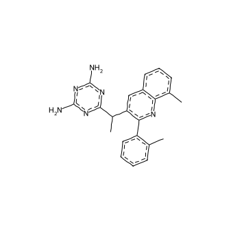 Cc1ccccc1-c1nc2c(C)cccc2cc1C(C)c1nc(N)nc(N)n1